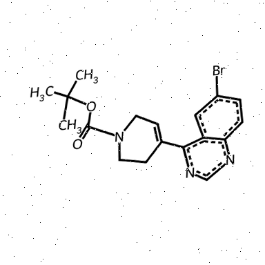 CC(C)(C)OC(=O)N1CC=C(c2ncnc3ccc(Br)cc23)CC1